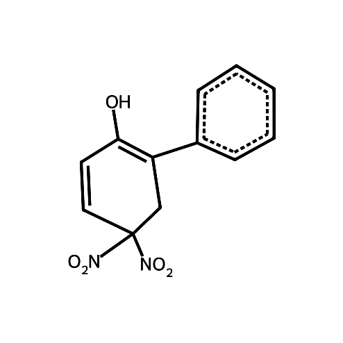 O=[N+]([O-])C1([N+](=O)[O-])C=CC(O)=C(c2ccccc2)C1